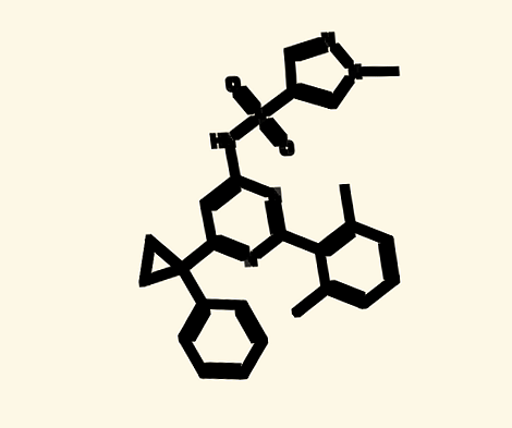 Cc1cccc(C)c1-c1nc(NS(=O)(=O)c2cnn(C)c2)cc(C2(c3ccccc3)CC2)n1